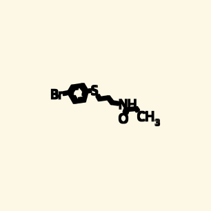 CCC(=O)NCCCSc1ccc(Br)cc1